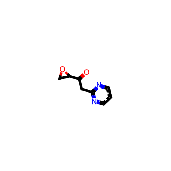 O=C(Cc1ncccn1)C1CO1